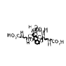 CC(=O)c1cc2c(OC(=O)NCCNCC(=O)O)c3ccccc3c(OC(=O)NCCNCC(=O)O)c2o1.CS(=O)(=O)O.CS(=O)(=O)O.O